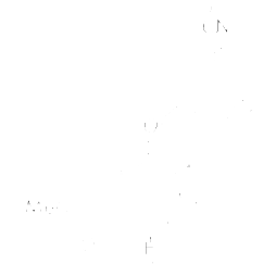 COC(=O)c1cc(Oc2cccc(C#N)c2)ccc1F